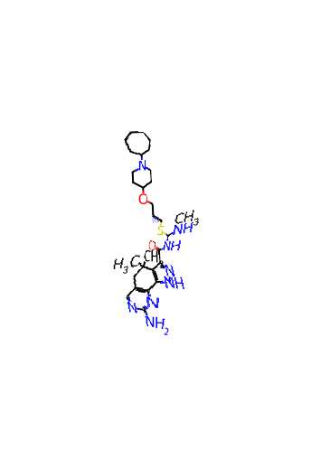 CNC(NC(=O)c1n[nH]c2c1C(C)(C)Cc1cnc(N)nc1-2)S/C=C/COC1CCN(C2CCCCCC2)CC1